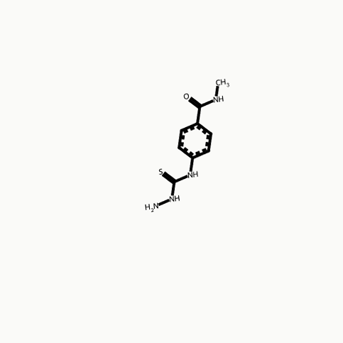 CNC(=O)c1ccc(NC(=S)NN)cc1